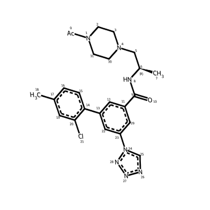 CC(=O)N1CCN(C[C@@H](C)NC(=O)c2cc(-c3ccc(C)cc3Cl)cc(-n3cnnn3)c2)CC1